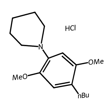 CCCCc1cc(OC)c(N2CCCCC2)cc1OC.Cl